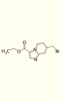 CCOC(=O)c1cnc2cc(CBr)ccn12